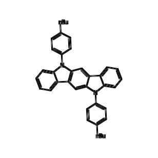 CCCCc1ccc(-n2c3ccccc3c3cc4c(cc32)c2ccccc2n4-c2ccc(CCCC)cc2)cc1